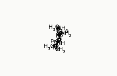 Cc1cc(-c2[nH]c3ccc(C4=NN(CCCN(C)C)C(C(N)=O)O4)cc3c2C(C)C)cc(C)n1